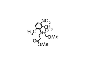 COCC(=O)N(CCC(=O)OC)c1c(C)ccc([N+](=O)[O-])c1C